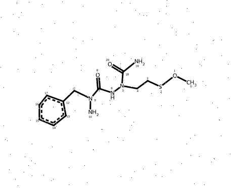 COSCCN(NC(=O)N(N)Cc1ccccc1)C(N)=O